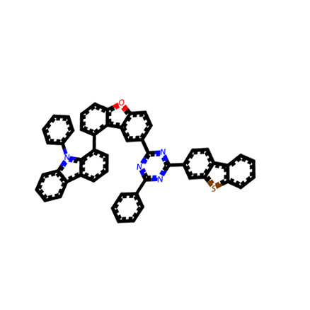 c1ccc(-c2nc(-c3ccc4c(c3)sc3ccccc34)nc(-c3ccc4oc5cccc(-c6cccc7c8ccccc8n(-c8ccccc8)c67)c5c4c3)n2)cc1